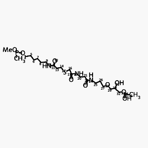 COP(C)OCCCCCCNC(=O)CCSCC(=O)NCCC(=O)NCCCOCC(O)COP(C)O